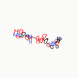 O=C(COC(=O)c1ccc(COc2cccc(C(NC(=O)O[C@H]3CN4CCC3CC4)c3ccccc3)c2)cc1)OCCCCNC[C@H](O)c1ccc(O)c2[nH]c(=O)ccc12